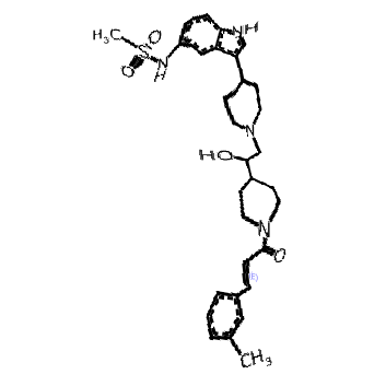 Cc1cccc(/C=C/C(=O)N2CCC(C(O)CN3CCC(c4c[nH]c5ccc(NS(C)(=O)=O)cc45)CC3)CC2)c1